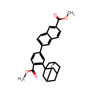 COC(=O)c1ccc2cc(-c3ccc(C(=O)OC)c(C45CC6CC(CC(C6)C4)C5)c3)ccc2c1